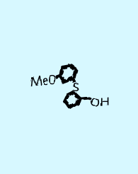 COc1cccc(Sc2ccccc2CO)c1